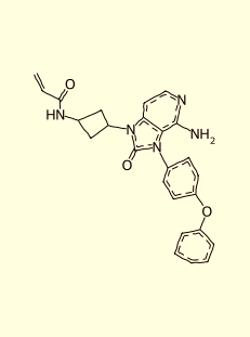 C=CC(=O)NC1CC(n2c(=O)n(-c3ccc(Oc4ccccc4)cc3)c3c(N)nccc32)C1